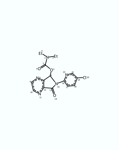 CCN(CC)C(=O)OC1c2nccnc2C(=O)N1c1ccc(Cl)cn1